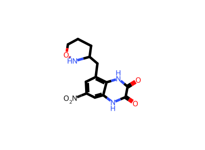 O=c1[nH]c2cc([N+](=O)[O-])cc(CC3CCCON3)c2[nH]c1=O